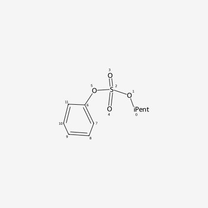 CCCC(C)OS(=O)(=O)Oc1ccccc1